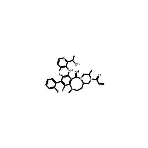 C=CC(=O)N1CC2CCN(C)c3c(F)c(-c4ccccc4F)c(F)c(Nc4c(C)ccnc4C(C)O)c3C(=N)N2CC1C